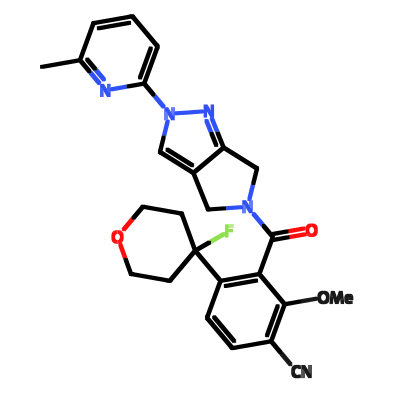 COc1c(C#N)ccc(C2(F)CCOCC2)c1C(=O)N1Cc2cn(-c3cccc(C)n3)nc2C1